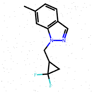 Cc1ccc2cnn(CC3CC3(F)F)c2c1